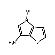 Nc1cn(O)c2ccsc12